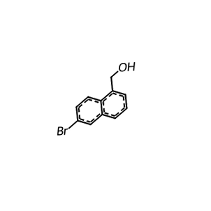 OCc1cccc2cc(Br)ccc12